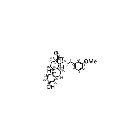 COc1cccc(CC[C@H]2CC(=O)[C@@]3(C)CC[C@@H]4c5ccc(O)cc5CC[C@H]4[C@H]23)c1